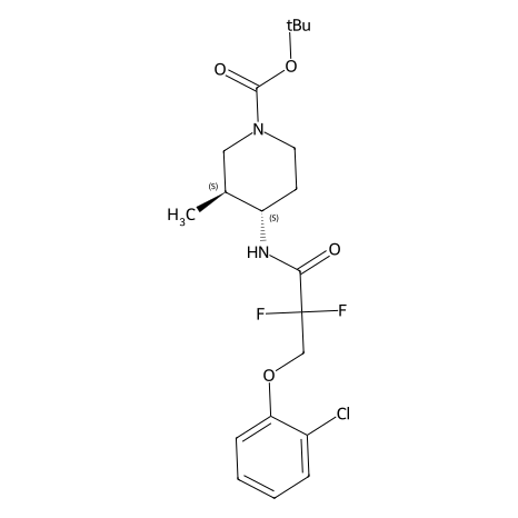 C[C@H]1CN(C(=O)OC(C)(C)C)CC[C@@H]1NC(=O)C(F)(F)COc1ccccc1Cl